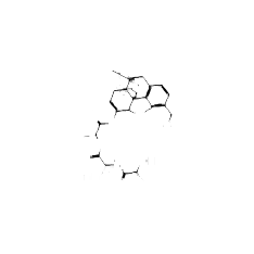 CCC[C@H](NC(=O)[C@H](C)O)C(=O)O[C@@H](C)C(=O)OC1=CC[C@@]2(O)[C@H]3Cc4ccc(CO)c5c4C2(CCN3C)C1O5